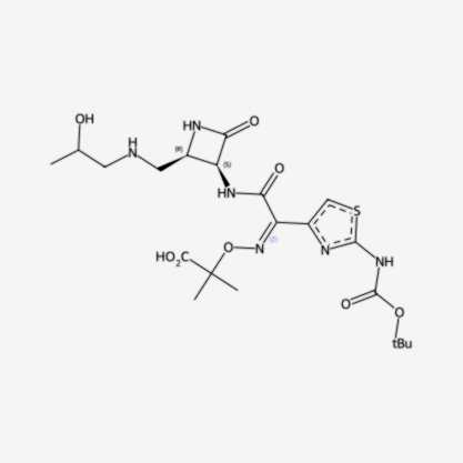 CC(O)CNC[C@H]1NC(=O)[C@H]1NC(=O)/C(=N\OC(C)(C)C(=O)O)c1csc(NC(=O)OC(C)(C)C)n1